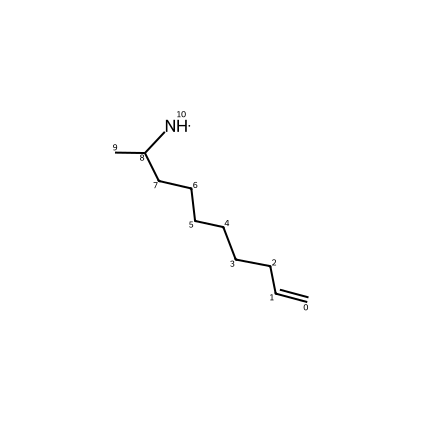 C=CCCCCCCC(C)[NH]